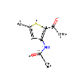 COC(=O)c1sc(C(C)=O)cc1NC(=O)C(F)(F)F